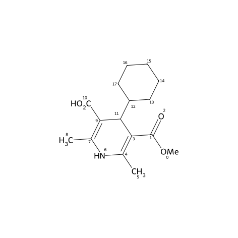 COC(=O)C1=C(C)NC(C)=C(C(=O)O)C1C1CCCCC1